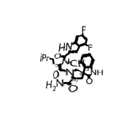 CC(C)CC[C@@H](C(=O)N1C[C@]2(C[C@H]1C(N)=O)C(=O)Nc1ccccc12)N(C)C(=O)c1cc2c(F)cc(F)cc2[nH]1